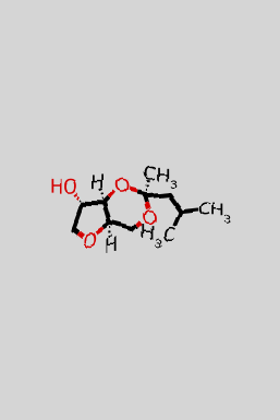 CC(C)C[C@@]1(C)OC[C@H]2OC[C@H](O)[C@H]2O1